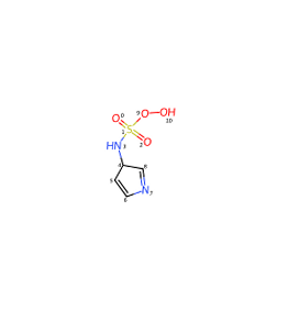 O=S(=O)(NC1C=CN=C1)OO